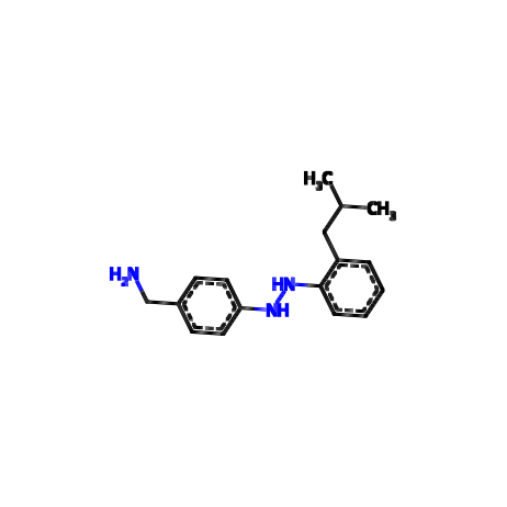 CC(C)Cc1ccccc1NNc1ccc(CN)cc1